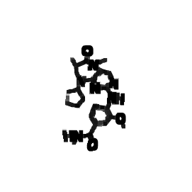 CNC(=O)c1ccc(Nc2ncc3c(n2)N(C2CCCC2)CC(C)C(=O)N3C)c(OC)c1